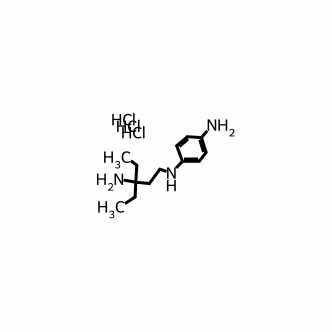 CCC(N)(CC)CCNc1ccc(N)cc1.Cl.Cl.Cl